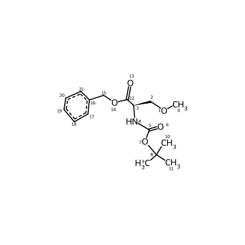 COC[C@@H](NC(=O)OC(C)(C)C)C(=O)OCc1ccccc1